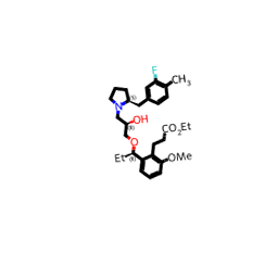 CCOC(=O)CCc1c(OC)cccc1[C@@H](CC)OC[C@H](O)CN1CCC[C@H]1Cc1ccc(C)c(F)c1